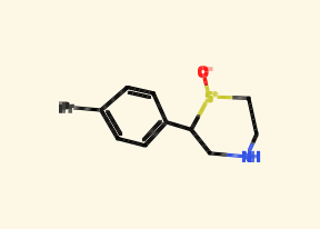 CC(C)c1ccc(C2CNCC[S+]2[O-])cc1